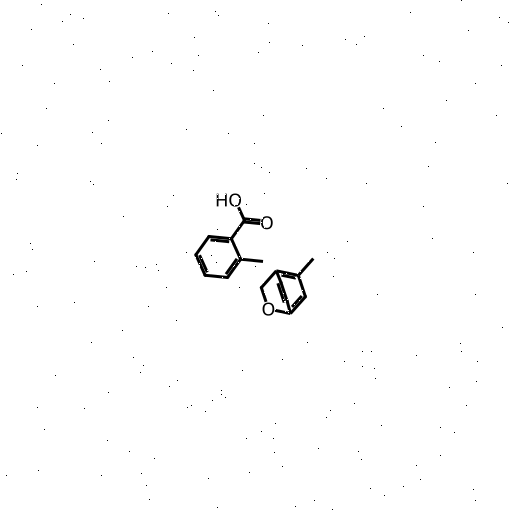 Cc1cc2ccc1CO2.Cc1ccccc1C(=O)O